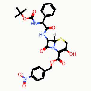 CC(C)(C)OC(=O)NC(C(=O)NC1C(=O)N2C(C(=O)OCc3ccc([N+](=O)[O-])cc3)=C(O)CS[C@@H]12)c1ccccc1